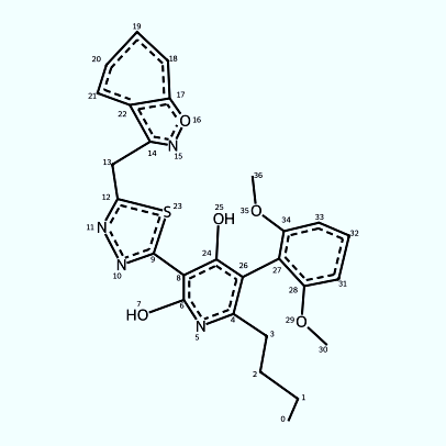 CCCCc1nc(O)c(-c2nnc(Cc3noc4ccccc34)s2)c(O)c1-c1c(OC)cccc1OC